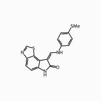 CSc1ccc(N/C=C2\C(=O)Nc3ccc4ncsc4c32)cc1